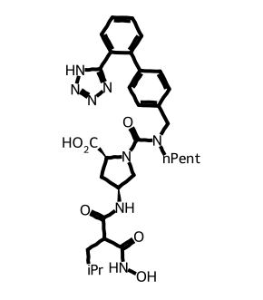 CCCCCN(Cc1ccc(-c2ccccc2-c2nnn[nH]2)cc1)C(=O)N1C[C@@H](NC(=O)C(CC(C)C)C(=O)NO)C[C@H]1C(=O)O